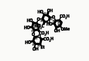 CC[C@@H]1C(C(=O)O)O[C@@H](O[C@@H]2C(C(=O)O)O[C@@H](O[C@H]3C(C(=O)O)O[C@@H](O[C@H]4C(O)C(O)[C@H](OC)C[C@H]4C(=O)O)C(O)[C@H]3O)C(O)C2O)C(O)[C@@H]1O